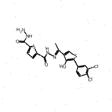 CC(=NNC(=O)c1ccc(C(=O)NN)s1)c1csc(-c2ccc(Cl)c(Cl)c2)c1O